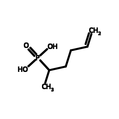 C=CCCC(C)P(=O)(O)O